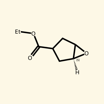 CCOC(=O)C1CC2O[C@H]2C1